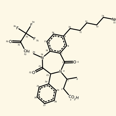 CC(CC(=O)O)N1C(=O)c2cc(CCCCCN)ccc2N(C)C(=O)C1c1ccccc1.O=C(O)C(F)(F)F